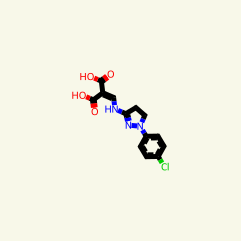 O=C(O)C(=CNC1=NN(c2ccc(Cl)cc2)CC1)C(=O)O